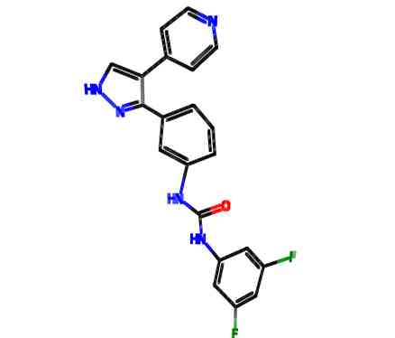 O=C(Nc1cc(F)cc(F)c1)Nc1cccc(-c2n[nH]cc2-c2ccncc2)c1